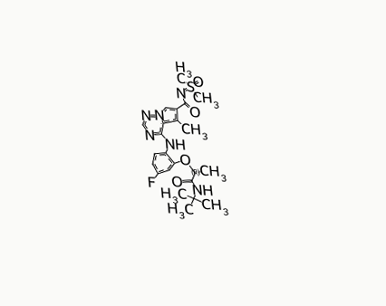 Cc1c(C(=O)N=S(C)(C)=O)cn2ncnc(Nc3ccc(F)cc3O[C@H](C)C(=O)NC(C)(C)C)c12